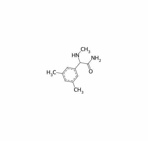 CNC(C(N)=O)c1cc(C)cc(C)c1